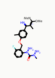 CN/C(OC)=C(/C)C(=N)c1ccc(OCc2c(F)cccc2N(N)C(=O)N(C)N)c(C)c1